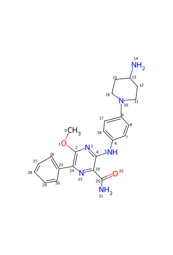 COc1nc(Nc2ccc(N3CCC(N)CC3)cc2)c(C(N)=O)nc1-c1ccccc1